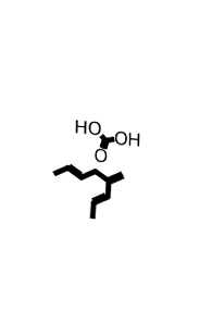 C=C(C=CC)CC=CC.O=C(O)O